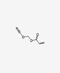 C=CC(=O)OCOC#N